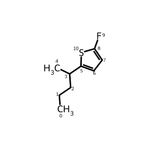 CCCC(C)c1ccc(F)s1